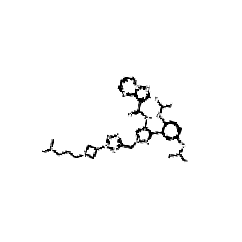 CN(C)CCCN1CC(n2nnc(Cn3cc(NC(=O)c4cnn5cccnc45)c(-c4cc(OC(F)F)ccc4OC(F)F)n3)n2)C1